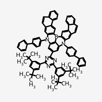 CC(C)(C)c1cc(-c2nc(-c3cc(C(C)(C)C)cc(C(C)(C)C)c3)nc(-c3cc4c5c(c3)N(c3ccc(-c6ccccc6)cc3)c3cc6ccc7ccccc7c6cc3B5c3cc5c(ccc6ccccc65)cc3N4c3ccc(-c4ccccc4)cc3)n2)cc(C(C)(C)C)c1